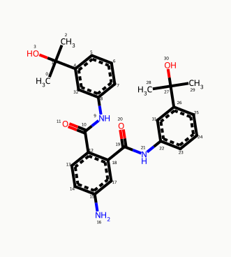 CC(C)(O)c1cccc(NC(=O)c2ccc(N)cc2C(=O)Nc2cccc(C(C)(C)O)c2)c1